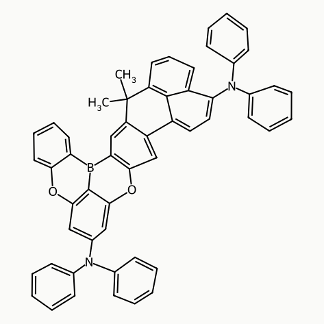 CC1(C)c2cc3c(cc2-c2ccc(N(c4ccccc4)c4ccccc4)c4cccc1c24)Oc1cc(N(c2ccccc2)c2ccccc2)cc2c1B3c1ccccc1O2